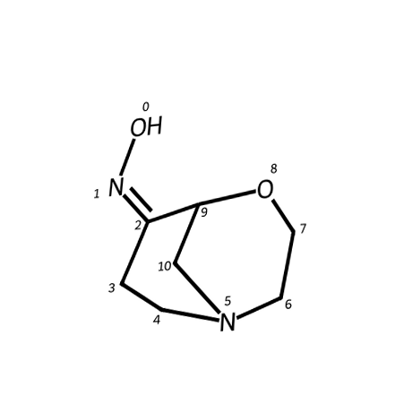 ON=C1CCN2CCOC1C2